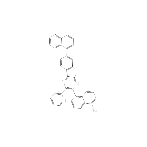 Brc1cccc2c(-c3nc4oc5cc(-c6cccc7ccccc67)ccc5c4nc3-c3ccccn3)cccc12